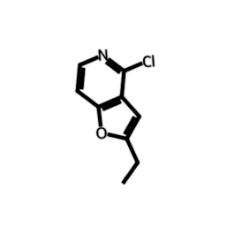 CCc1cc2c(Cl)nccc2o1